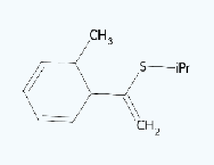 C=C(SC(C)C)C1C=CC=CC1C